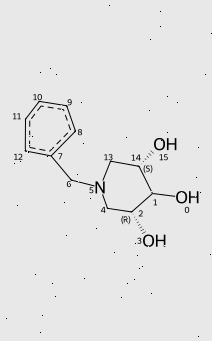 OC1[C@H](O)CN(Cc2ccccc2)C[C@@H]1O